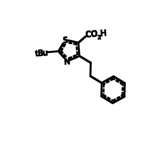 CC(C)(C)c1nc(CCc2ccccc2)c(C(=O)O)s1